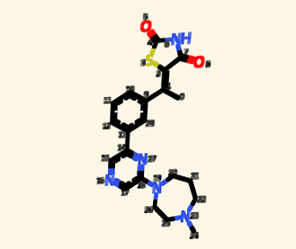 CC(=C1SC(=O)NC1=O)c1cccc(-c2cncc(N3CCCN(C)CC3)n2)c1